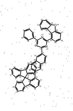 c1ccc(-c2nc(-c3ccc4cc(-c5cccc6c5C5(c7ccccc7-c7ccccc75)c5ccccc5-6)ccc4c3)nc(-c3cccc4oc5ccccc5c34)n2)cc1